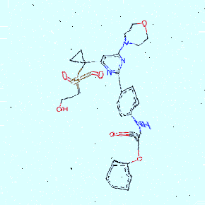 O=C(Nc1ccc(-c2nc(N3CCOCC3)cc(C3(S(=O)(=O)CCO)CC3)n2)cc1)Oc1ccccc1